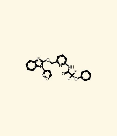 O=C(Nc1cccc(COc2nc3ccccc3n2-c2ccon2)n1)C(F)(F)Oc1ccccc1